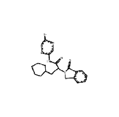 O=C(Nc1cnc(Br)cn1)C(CC1CCCCC1)N1Cc2ccccc2C1=O